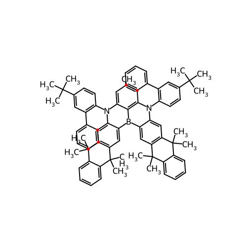 Cc1cc2c3c(c1)N(c1ccc(C(C)(C)C)cc1-c1ccccc1)c1cc4c(cc1B3c1cc3c(cc1N2c1ccc(C(C)(C)C)cc1-c1ccccc1)C(C)(C)c1ccccc1C3(C)C)C(C)(C)c1ccccc1C4(C)C